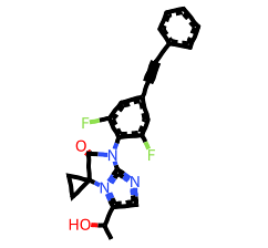 CC(O)c1cnc2n1C1(CC1)C(=O)N2c1c(F)cc(C#Cc2ccccc2)cc1F